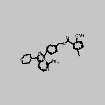 COc1ccc(F)cc1C(=O)NCc1ccc(-c2nc(C3CCOCC3)c3ccnc(N)n23)cc1